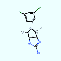 C[C@@H]1C2N=C(N)NC2C(C(F)(F)F)[C@@H]1c1cc(Cl)cc(Cl)c1